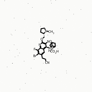 CN1CCC[C@H]1COc1nc2c(F)c(Br)c(CCC#N)cc2c(NC2C3CC2N(C(=O)O)C3)c1[N+](=O)[O-]